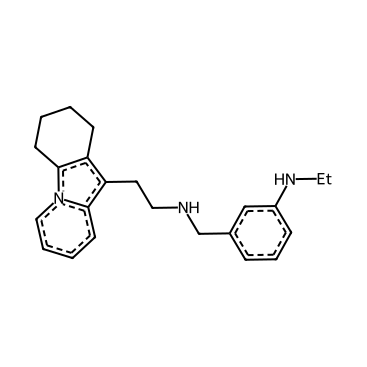 CCNc1cccc(CNCCc2c3c(n4ccccc24)CCCC3)c1